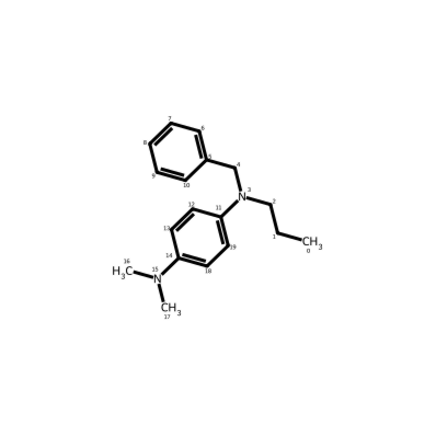 CCCN(Cc1ccccc1)c1ccc(N(C)C)cc1